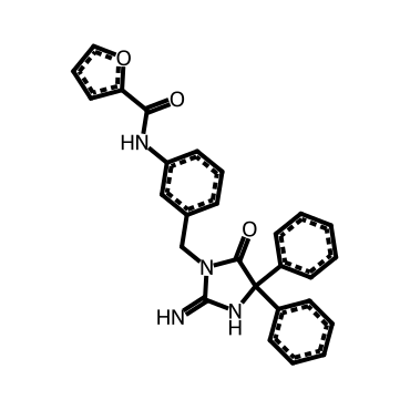 N=C1NC(c2ccccc2)(c2ccccc2)C(=O)N1Cc1cccc(NC(=O)c2ccco2)c1